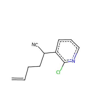 C=CCCC(C#N)c1cccnc1Cl